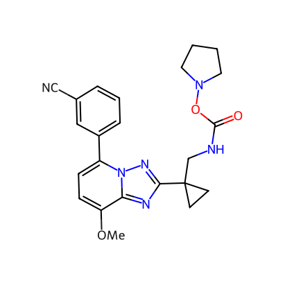 COc1ccc(-c2cccc(C#N)c2)n2nc(C3(CNC(=O)ON4CCCC4)CC3)nc12